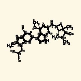 COc1nc(NC2CC(C)(C(=O)N(C)C)C2)nc2[nH]cc(-c3cc(F)c4nc(C)n(CC(F)F)c4c3)c12